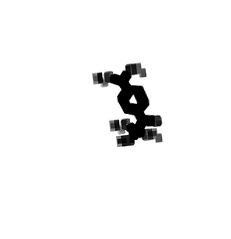 CC(C)c1ccc(C(=O)C(C)(C)O)cc1